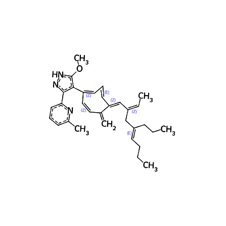 C=C1\C=C/C(c2c(-c3cccc(C)n3)n[nH]c2OC)=C/C=C/C1=C/C(=C\C)C/C(=C/CCC)CCC